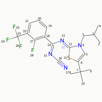 CC(C)Cn1cc(C(C)(C)C)s/c1=N\C(=NC#N)c1cccc(C(F)(F)F)c1F